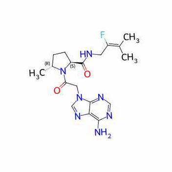 CC(C)=C(F)CNC(=O)[C@@H]1CC[C@@H](C)N1C(=O)Cn1cnc2c(N)ncnc21